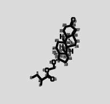 CCC(C)C(=O)OCO[C@H]1CC[C@H]2[C@@H]3CCC4=CC(=O)CC[C@]4(C)[C@H]3CC[C@]12C